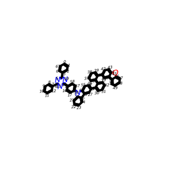 c1ccc(-c2nc(-c3ccccc3)nc(-c3ccc(-n4c5ccccc5c5cc(-c6ccccc6-c6ccccc6-c6ccc7oc8ccccc8c7c6)ccc54)cc3)n2)cc1